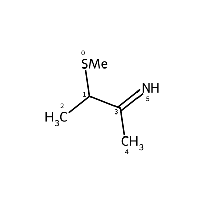 CSC(C)C(C)=N